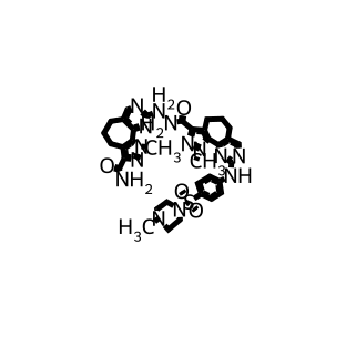 CN1CCN(S(=O)(=O)c2ccc(Nc3ncc4c(n3)-c3c(c(C(N)=O)nn3C)CCC4)cc2)CC1.Cn1nc(C(N)=O)c2c1-c1nc(N)ncc1CCC2